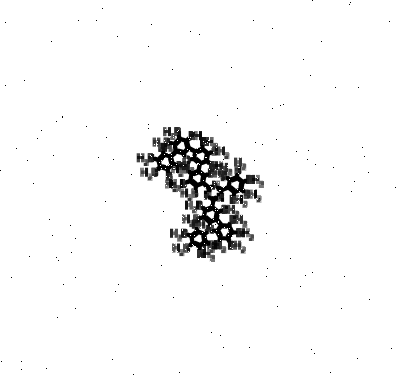 Bc1c(B)c(B)c(-c2nc(-c3c(B)c(B)c(B)c(-c4c(B)c(B)c(B)c5c4oc4c(-c6c(B)c(B)c(B)c(B)c6B)c(B)c(B)c(B)c45)c3B)nc(-c3c(B)c(B)c4c(c3B)c3c(B)c(B)c(B)c(B)c3n4-c3c(B)c(B)c(B)c(B)c3B)n2)c(B)c1B